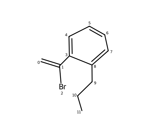 C=C(Br)c1ccccc1CCC